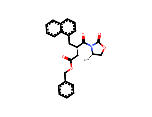 CC(C)[C@H]1COC(=O)N1C(=O)[C@@H](CC(=O)OCc1ccccc1)Cc1cccc2ccccc12